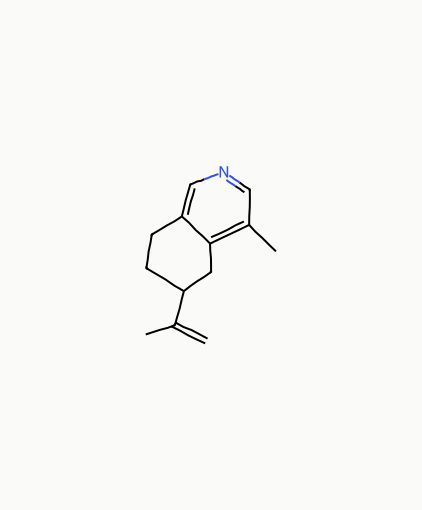 C=C(C)C1CCc2cncc(C)c2C1